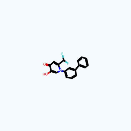 O=c1cc(C(F)F)n(-c2cccc(-c3ccccc3)c2)cc1O